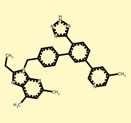 CCc1nc2c(C)cc(C)nc2n1Cc1ccc(-c2cc(-c3cncc(C)c3)ccc2-c2nn[nH]n2)cc1